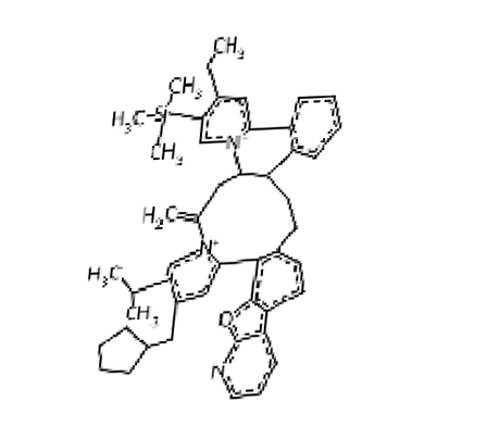 C=C1CC2C(CCc3ccc4c(oc5ncccc54)c3-c3cc(CC4CCCC4)c(C(C)C)c[n+]31)c1ccccc1-c1cc(CC)c([Si](C)(C)C)c[n+]12